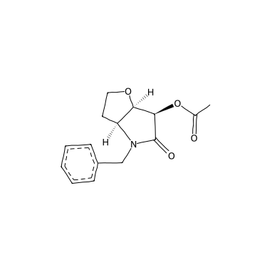 CC(=O)O[C@H]1C(=O)N(Cc2ccccc2)[C@H]2CCO[C@@H]12